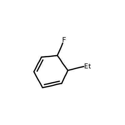 CCC1C=CC=CC1F